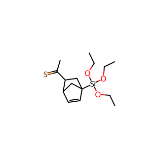 CCO[Si](OCC)(OCC)C12C=CC(C1)C(C(C)=S)C2